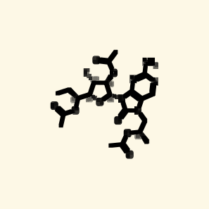 CC[C@H](OC(C)=O)[C@H]1O[C@@H](n2c(=O)n(C[C@@H](C)OC(C)=O)c3cnc(N)nc32)[C@H](OC(C)=O)[C@H]1F